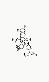 CC(=O)N[C@@H](Cc1cc(F)cc(F)c1)[C@H](O)CNC1(c2cccc(C(C)C)c2)CCS(=O)(=O)CC1